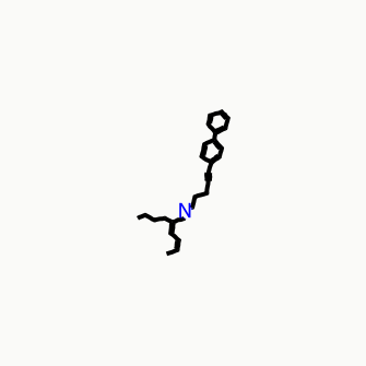 C\C=C/C=C(\C=N\CCCC#Cc1ccc(-c2ccccc2)cc1)CCCC